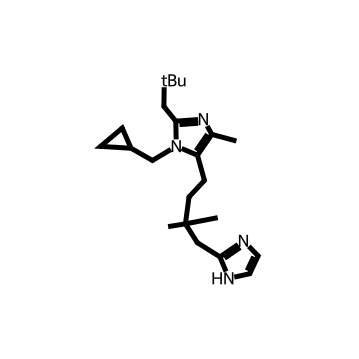 Cc1nc(CC(C)(C)C)n(CC2CC2)c1CCC(C)(C)Cc1ncc[nH]1